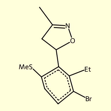 CCc1c(Br)ccc(SC)c1C1CC(C)=NO1